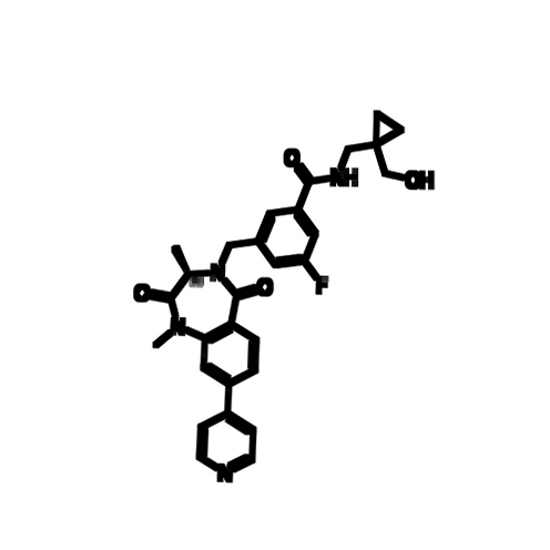 C[C@@H]1C(=O)N(C)c2cc(-c3ccncc3)ccc2C(=O)N1Cc1cc(F)cc(C(=O)NCC2(CO)CC2)c1